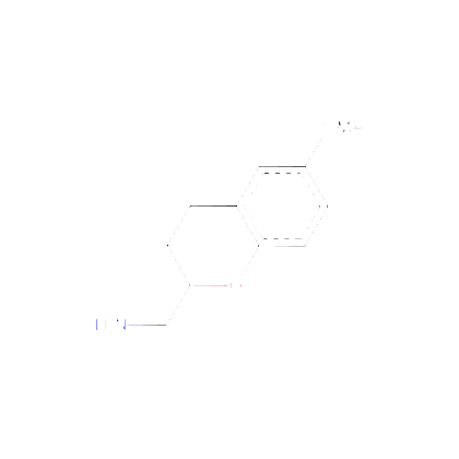 COc1ccc2c(c1)CCC(CN)O2